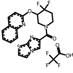 O=C(O)C(F)(F)F.O=C(c1cn2ccsc2n1)N1CCC(F)(F)C(Oc2ccc3ccccc3n2)C1